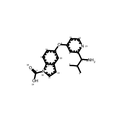 CC(C)C(N)c1cc(Oc2ccc3c(ccn3C(=O)O)c2)ccn1